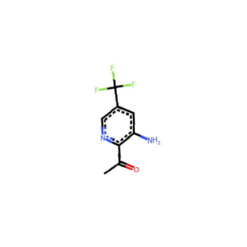 CC(=O)c1ncc(C(F)(F)F)cc1N